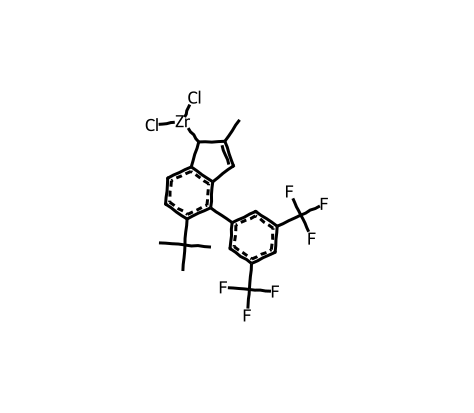 CC1=Cc2c(ccc(C(C)(C)C)c2-c2cc(C(F)(F)F)cc(C(F)(F)F)c2)[CH]1[Zr]([Cl])[Cl]